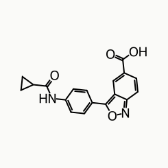 O=C(O)c1ccc2noc(-c3ccc(NC(=O)C4CC4)cc3)c2c1